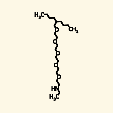 CCCCC(CCCC)COCCOCCOCCOCCOCCNCC